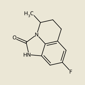 CC1CCc2cc(F)cc3[nH]c(=O)n1c23